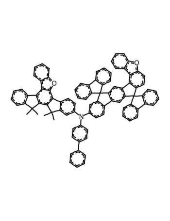 CC1(C)c2cc(N(c3ccc(-c4ccccc4)cc3)c3ccc4c(c3)C3(c5ccccc5-c5ccccc53)c3cc5c(cc3-4)C3(c4ccccc4-c4ccccc43)c3ccc4oc6ccccc6c4c3-5)ccc2-c2c1c1c(c3c2oc2ccccc23)-c2ccccc2C1(C)C